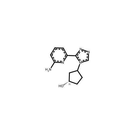 Nc1cccc(-c2nncn2C2CC[C@H](O)C2)n1